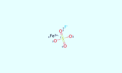 O=S(=O)([O-])[O-].[F-].[Fe+3]